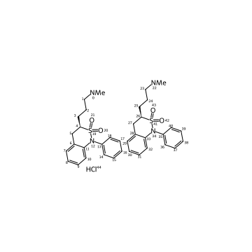 CNCCC[C@@H]1Cc2ccccc2N(c2ccccc2)S1(=O)=O.CNCCC[C@@H]1Cc2ccccc2N(c2ccccc2)S1(=O)=O.Cl